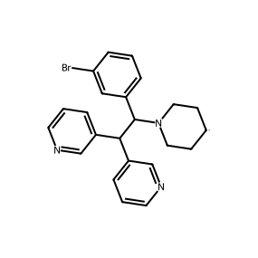 Brc1cccc(C(C(c2cccnc2)c2cccnc2)N2CC[CH]CC2)c1